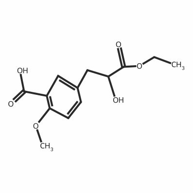 CCOC(=O)C(O)Cc1ccc(OC)c(C(=O)O)c1